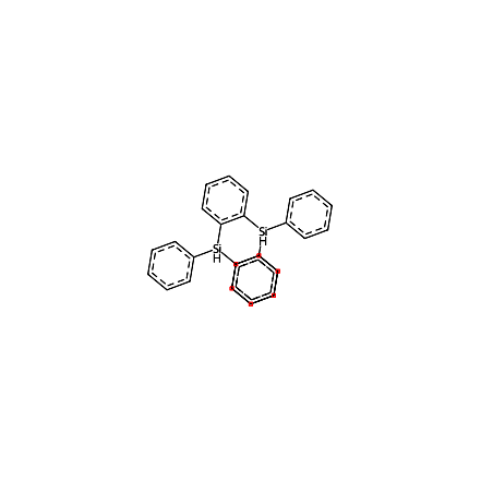 c1ccc([SiH](c2ccccc2)c2ccccc2[SiH](c2ccccc2)c2ccccc2)cc1